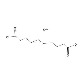 O=C([O-])CCCCCCCCC(=O)[O-].[Sr+2]